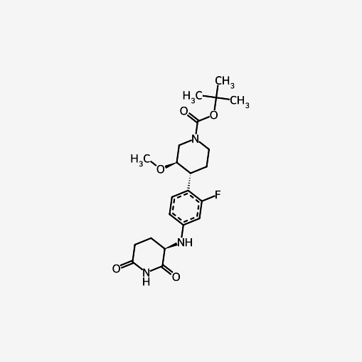 CO[C@H]1CN(C(=O)OC(C)(C)C)CC[C@@H]1c1ccc(N[C@@H]2CCC(=O)NC2=O)cc1F